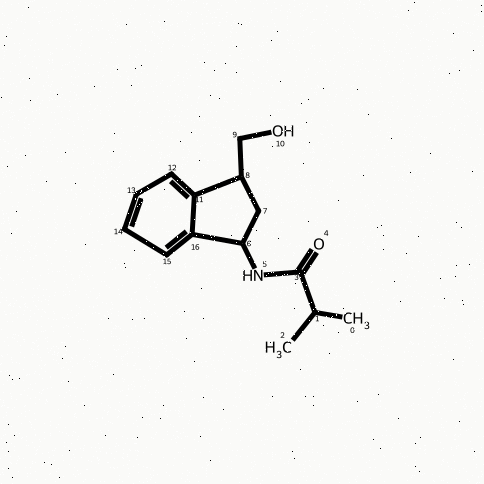 CC(C)C(=O)NC1CC(CO)c2ccccc21